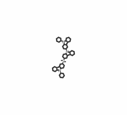 C[Si](C)(c1ccc2c(c1)c1ccccc1n2-c1ccccc1)c1ccc2c(c1)c1ccccc1n2-c1ccc2c(c1)c1ccccc1n2-c1ccccc1